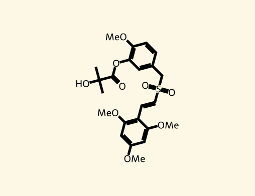 COc1cc(OC)c(/C=C/S(=O)(=O)Cc2ccc(OC)c(OC(=O)C(C)(C)O)c2)c(OC)c1